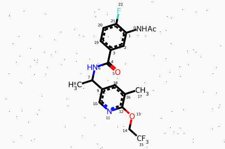 CC(=O)Nc1cc(C(=O)NC(C)c2cnc(OCC(F)(F)F)c(C)c2)ccc1F